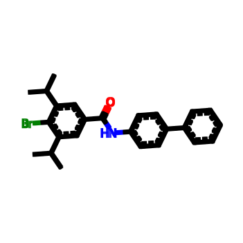 CC(C)c1cc(C(=O)Nc2ccc(-c3ccccc3)cc2)cc(C(C)C)c1Br